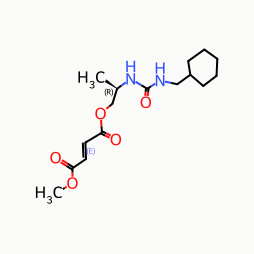 COC(=O)/C=C/C(=O)OC[C@@H](C)NC(=O)NCC1CCCCC1